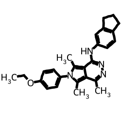 CCOc1ccc(-n2c(C)c3c(C)nnc(Nc4ccc5c(c4)CCC5)c3c2C)cc1